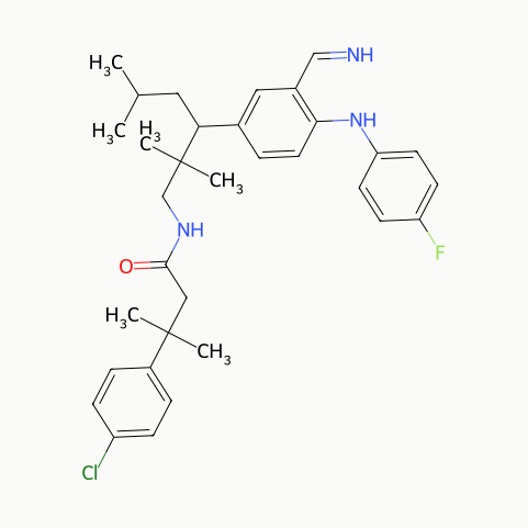 CC(C)CC(c1ccc(Nc2ccc(F)cc2)c(C=N)c1)C(C)(C)CNC(=O)CC(C)(C)c1ccc(Cl)cc1